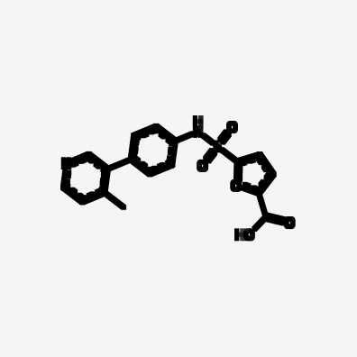 Cc1ccncc1-c1ccc(NS(=O)(=O)c2ccc(C(=O)O)o2)cc1